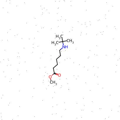 COC(=O)CCCCCNC(C)(C)C